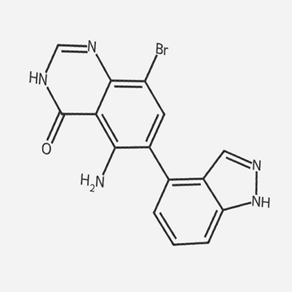 Nc1c(-c2cccc3[nH]ncc23)cc(Br)c2nc[nH]c(=O)c12